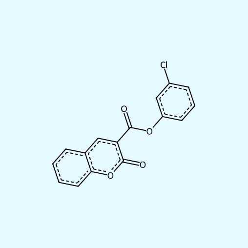 O=C(Oc1cccc(Cl)c1)c1cc2ccccc2oc1=O